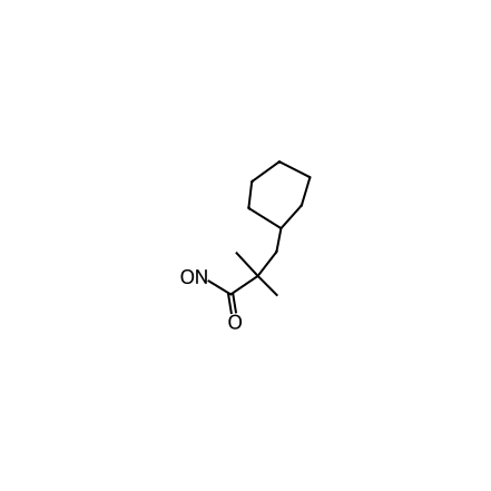 CC(C)(CC1CCCCC1)C(=O)N=O